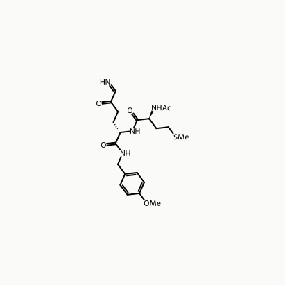 COc1ccc(CNC(=O)[C@H](CCC(=O)C=N)NC(=O)[C@H](CCSC)NC(C)=O)cc1